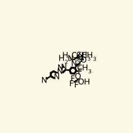 CN=[S@@]1(=O)C[C@@](C)(c2cc(-c3cn(-c4ccc(C#N)cn4)nn3)ccc2F)N=C(N)C1(C)C.O=C(O)C(F)(F)F